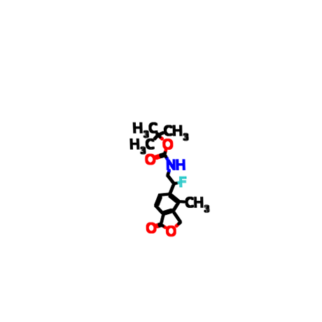 Cc1c(C(F)CNC(=O)OC(C)(C)C)ccc2c1COC2=O